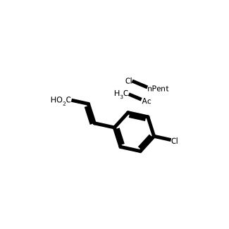 CC(C)=O.CCCCCCl.O=C(O)C=Cc1ccc(Cl)cc1